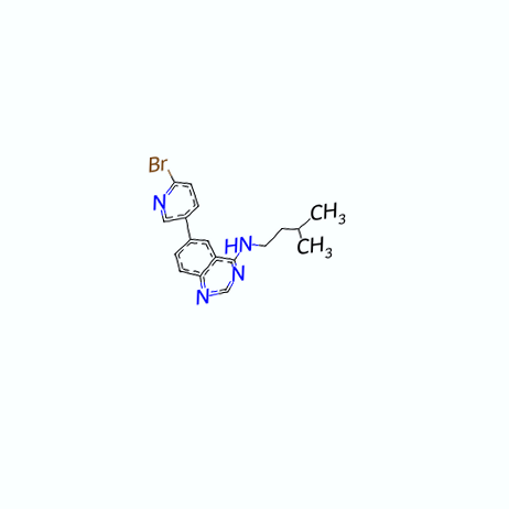 CC(C)CCNc1ncnc2ccc(-c3ccc(Br)nc3)cc12